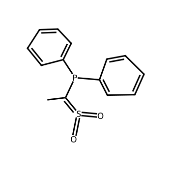 CC(P(c1ccccc1)c1ccccc1)=S(=O)=O